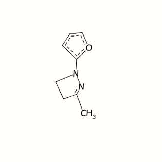 CC1=NN(c2ccco2)CC1